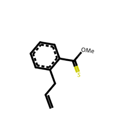 C=CCc1ccccc1C(=S)OC